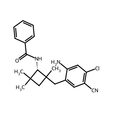 CC1(C)CC(C)(Cc2cc(C#N)c(Cl)cc2N)[C@H]1NC(=O)c1ccccc1